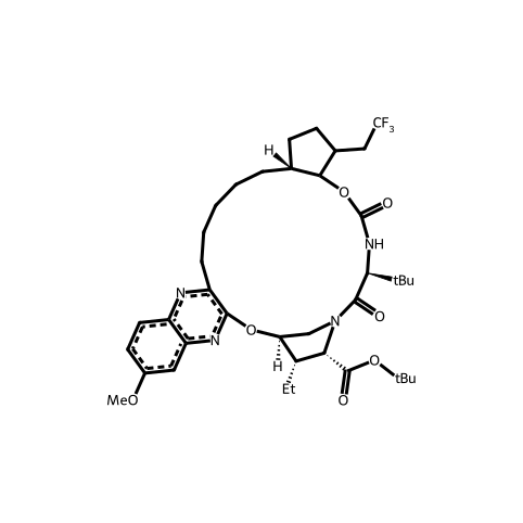 CC[C@@H]1[C@@H]2CN(C(=O)[C@H](C(C)(C)C)NC(=O)OC3C(CC(F)(F)F)CC[C@H]3CCCCCc3nc4ccc(OC)cc4nc3O2)[C@@H]1C(=O)OC(C)(C)C